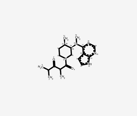 CC(C)C(=O)C(C)C(=O)N1CC[C@@H](C)[C@@H](N(C)c2ncnc3[nH]ccc23)C1